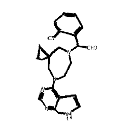 O=CC(c1ccccc1Cl)N1CCN(c2ncnc3[nH]ccc23)CC2(CC2)C1